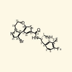 NC[C@H](Cc1ccc(F)c(F)c1)NC(=O)c1cc2c(s1)OCCn1ncc(Br)c1-2